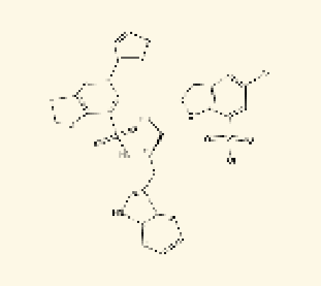 O=S(=O)(N[C@@H](CO)Cc1c[nH]c2ccccc12)c1cc(-c2ccsc2)cc2c1OCC2.O=S(=O)(O)c1cc(Br)cc2c1OCC2